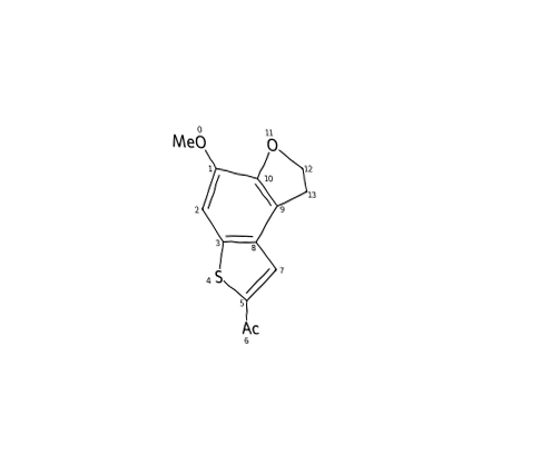 COc1cc2sc(C(C)=O)cc2c2c1OCC2